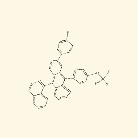 Fc1ccc(-c2ccc3c(-c4cccc5ccccc45)c4ccccc4c(-c4ccc(OC(F)(F)F)cc4)c3c2)cc1